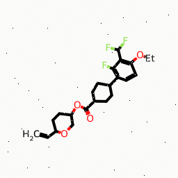 C=CC1CCC(OC(=O)C2CCC(c3ccc(OCC)c(C(F)F)c3F)CC2)CO1